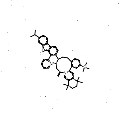 C=C1CC2C(CCc3ccc([Si](C)(C)C)cc3-c3cc4c(c[n+]31)C(C)(C)CCC4(C)C)c1ccc3c(oc4cc(C(C)C)ccc43)c1-c1cccc[n+]12